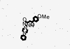 COc1ccc(C(=O)CC2NC(N3CCN(c4ccccc4)CC3)=NC2=O)cc1